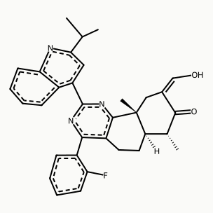 CC(C)c1cc(-c2nc(-c3ccccc3F)c3c(n2)[C@]2(C)C/C(=C/O)C(=O)[C@H](C)[C@H]2CC3)c2ccccc2n1